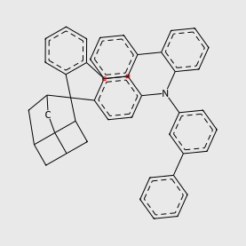 c1ccc(-c2cccc(N(c3ccc4c(c3)-c3ccccc3C43C4CC5CC6CC3C56C4)c3ccccc3-c3ccccc3)c2)cc1